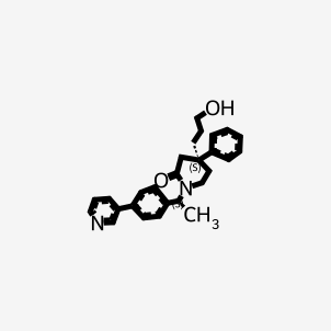 C[C@@H](c1ccc(-c2cccnc2)cc1)N1CC[C@](CCCO)(c2ccccc2)CC1=O